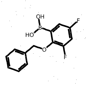 OB(O)c1cc(F)cc(F)c1OCc1ccccc1